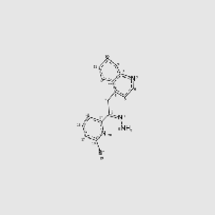 NN=C(Cc1ccnc2ccccc12)c1cccc(Br)n1